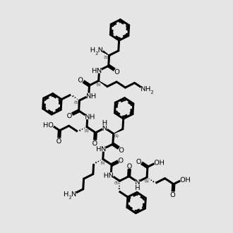 NCCCC[C@H](NC(=O)[C@H](Cc1ccccc1)NC(=O)[C@H](CCC(=O)O)NC(=O)[C@H](Cc1ccccc1)NC(=O)[C@H](CCCCN)NC(=O)[C@@H](N)Cc1ccccc1)C(=O)N[C@@H](Cc1ccccc1)C(=O)N[C@@H](CCC(=O)O)C(=O)O